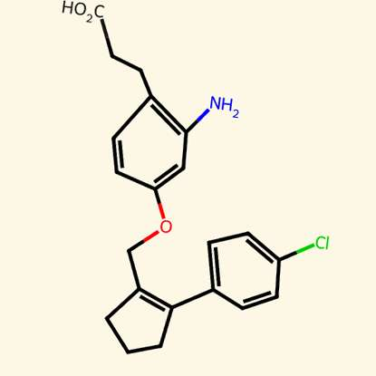 Nc1cc(OCC2=C(c3ccc(Cl)cc3)CCC2)ccc1CCC(=O)O